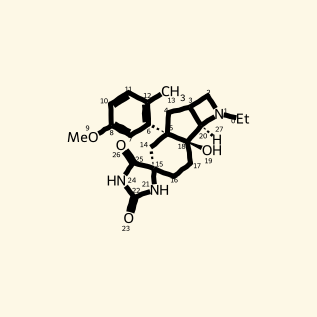 CCN1CC2C[C@]3(c4cc(OC)ccc4C)C[C@]4(CC[C@@]3(O)[C@@H]21)NC(=O)NC4=O